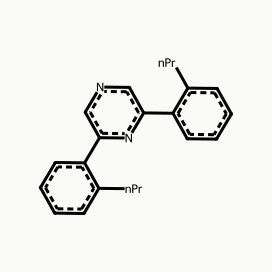 CCCc1ccccc1-c1cncc(-c2ccccc2CCC)n1